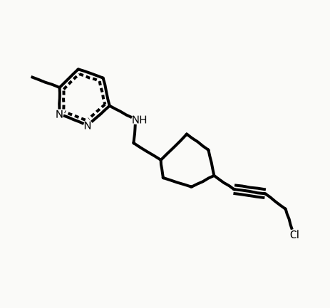 Cc1ccc(NCC2CCC(C#CCCl)CC2)nn1